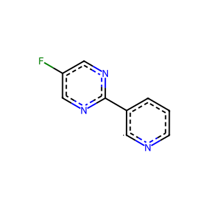 Fc1cnc(-c2[c]nccc2)nc1